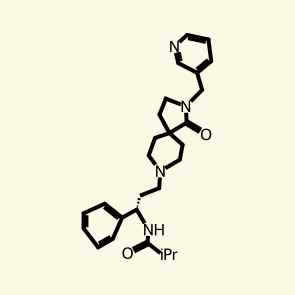 CC(C)C(=O)N[C@@H](CCN1CCC2(CC1)CCN(Cc1cccnc1)C2=O)c1ccccc1